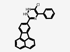 ClC1=C(c2ccccc2)N=C(c2ccc3c(c2)-c2cccc4cccc-3c24)NN1